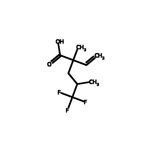 C=CC(C)(CC(C)C(F)(F)F)C(=O)O